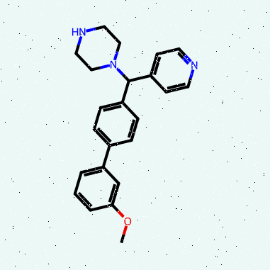 COc1cccc(-c2ccc(C(c3ccncc3)N3CCNCC3)cc2)c1